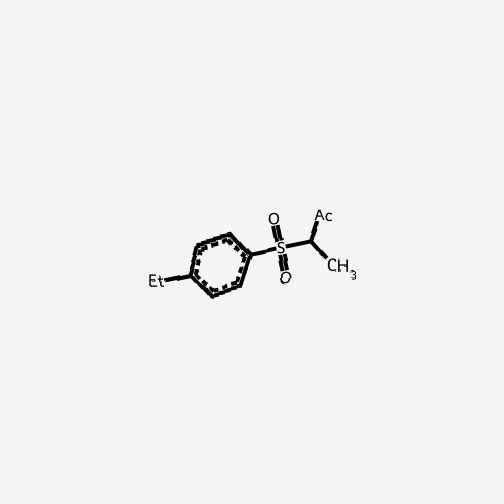 CCc1ccc(S(=O)(=O)C(C)C(C)=O)cc1